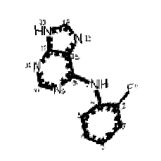 Fc1ccccc1Nc1ncnc2[nH]cnc12